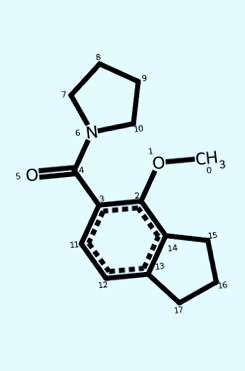 COc1c(C(=O)N2CCCC2)ccc2c1CCC2